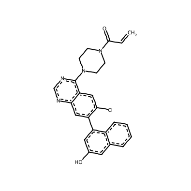 C=CC(=O)N1CCN(c2ncnc3cc(-c4cc(O)cc5ccccc45)c(Cl)cc23)CC1